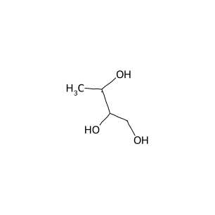 C[C](O)C(O)CO